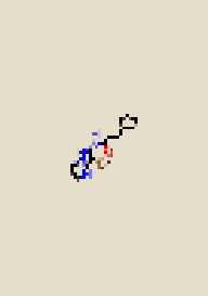 O=C(CCC1CCCC1)Nc1nn2cccnc2c1Br